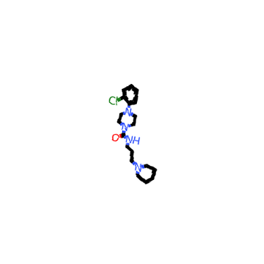 O=C(NCCCN1CCCCC1)N1CCN(c2ccccc2Cl)CC1